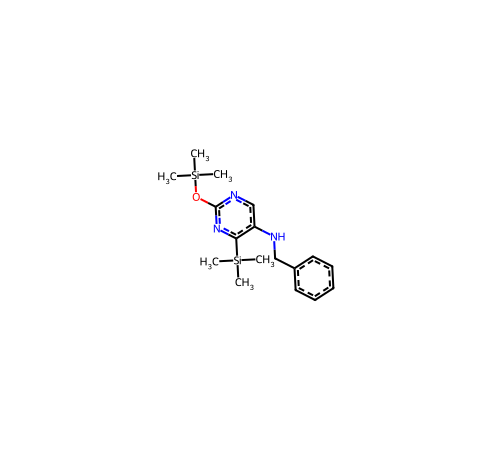 C[Si](C)(C)Oc1ncc(NCc2ccccc2)c([Si](C)(C)C)n1